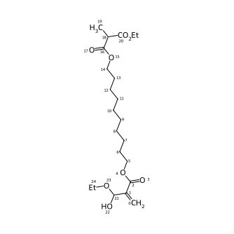 C=C(C(=O)OCCCCCCCCCCOC(=O)C(C)C(=O)OCC)C(O)OCC